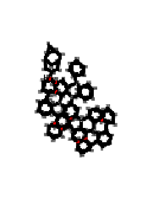 c1ccc(-c2cccc(-c3ccccc3)c2N2c3ccccc3B3c4cc5c(cc4N(c4ccccc4)c4cccc2c43)N(c2c(-c3ccccc3)cccc2-c2ccccc2)c2cc(NC3CC4CC(C3)C3CC3C4)cc3c2B5c2ccccc2N3c2ccccc2)cc1